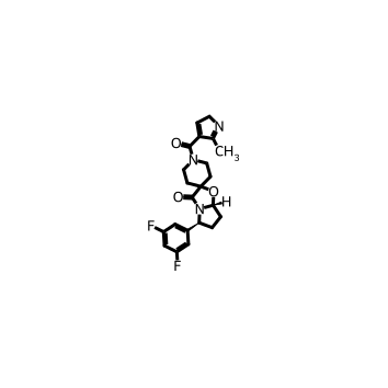 CC1=NCC=C1C(=O)N1CCC2(CC1)O[C@@H]1CC[C@@H](c3cc(F)cc(F)c3)N1C2=O